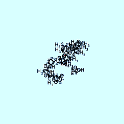 CC[C@H](C)[C@@H]([C@@H](CC(=O)N1CCC[C@H]1[C@H](OC)[C@@H](C)C(=O)N(C)CCc1cccc(NC(=O)[C@H](C)NC(=O)[C@H](C)NC(=O)CN2C(=O)C=CC2=O)c1)OC)N(C)C(=O)[C@@H](NC(=O)C(C)(C)N(C)C)C(C)C.O=C(O)C(F)(F)F